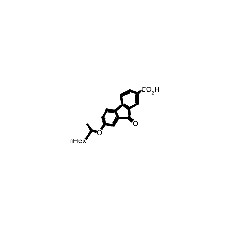 CCCCCCC(C)Oc1ccc2c(c1)C(=O)c1cc(C(=O)O)ccc1-2